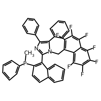 CP(c1ccccc1)c1ccc2ccccc2c1-c1nc(-c2ccccc2)c(-c2ccccc2)n1Cc1c(F)c(F)c(F)c2c(F)c(F)c(F)c(F)c12